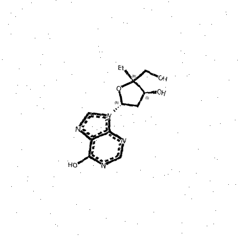 CC[C@]1(CO)O[C@@H](n2cnc3c(O)ncnc32)C[C@@H]1O